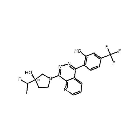 Oc1cc(C(F)(F)F)ccc1-c1nnc(N2CC[C@](O)(C(F)F)C2)c2ncccc12